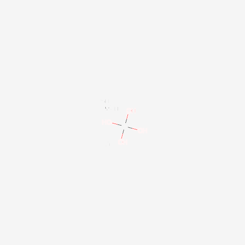 [MgH2].[OH][Ti]([OH])([OH])[OH].[PbH2].[Zr]